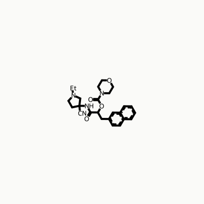 CCN1CCC(C#N)(NC(=O)C(Cc2ccc3ccccc3c2)OC(=O)N2CCOCC2)C1